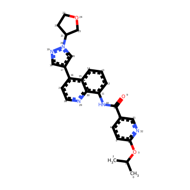 CC(C)Oc1ccc(C(=O)Nc2cccc3c(-c4cnn(C5CCOC5)c4)ccnc23)cn1